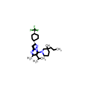 CCCC1(C)CCCN(c2c(C(C)C)c(C)nc3cc([C@H]4CC[C@H](C(F)(F)F)CC4)nn23)C1